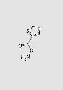 NOC(=O)c1cccs1